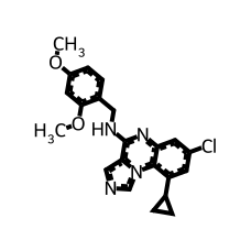 COc1ccc(CNc2nc3cc(Cl)cc(C4CC4)c3n3cncc23)c(OC)c1